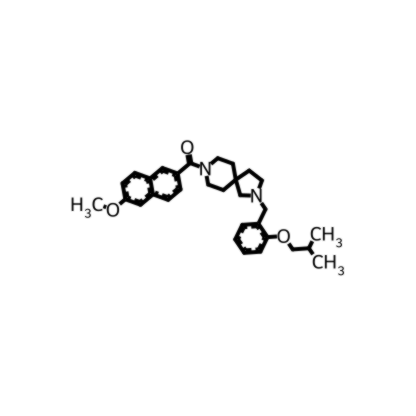 COc1ccc2cc(C(=O)N3CCC4(CCN(Cc5ccccc5OCC(C)C)C4)CC3)ccc2c1